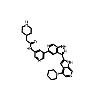 O=C(CC1CCNCC1)Nc1cncc(-c2cc3c(-c4cc5c(N6CCCCC6)cncc5[nH]4)n[nH]c3cn2)c1